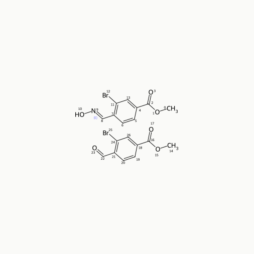 COC(=O)c1ccc(/C=N/O)c(Br)c1.COC(=O)c1ccc(C=O)c(Br)c1